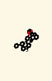 c1ccc(-c2ccc(N(c3ccc4c(c3)C3(c5ccccc5-4)c4ccccc4-c4cccc5ccc(-c6ccccc6)c3c45)c3cccc4sc5ccccc5c34)cc2)cc1